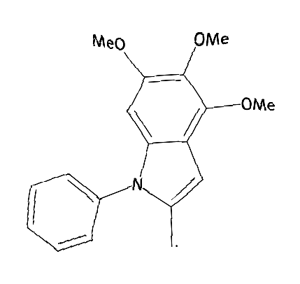 [CH2]c1cc2c(OC)c(OC)c(OC)cc2n1-c1ccccc1